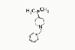 CP(C)C1=CCN(Cc2ccccc2)CC1